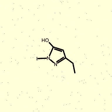 CCc1cc(O)n(I)n1